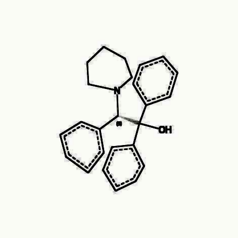 OC(c1ccccc1)(c1ccccc1)[C@H](c1ccccc1)N1CCCCC1